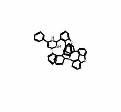 C1=CC2c3ccccc3N(c3cccc4oc5cccc(-c6cccc7c6oc6cccc(C8NC(c9ccccc9)=C[C@@H](c9ccccc9)N8)c67)c5c34)C2C=C1